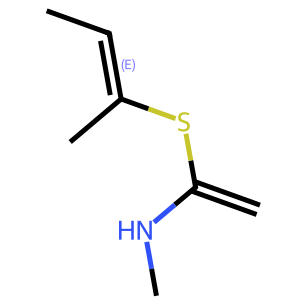 C=C(NC)S/C(C)=C/C